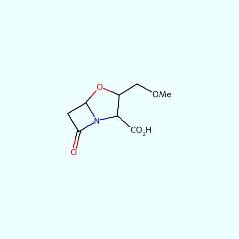 COCC1OC2CC(=O)N2C1C(=O)O